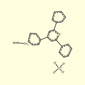 CNC.[O-][Cl+3]([O-])([O-])[O-].c1ccc(-c2cc(-c3ccccc3)[s+]c(-c3ccccc3)c2)cc1